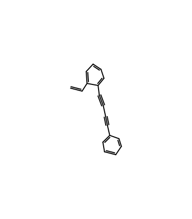 C=Cc1ccccc1C#CC#Cc1ccccc1